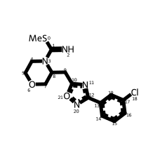 CSC(=N)N1CCOCC1Cc1nc(-c2cccc(Cl)c2)no1